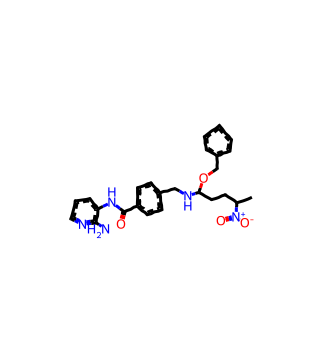 CC(CCC(NCc1ccc(C(=O)Nc2cccnc2N)cc1)OCc1ccccc1)[N+](=O)[O-]